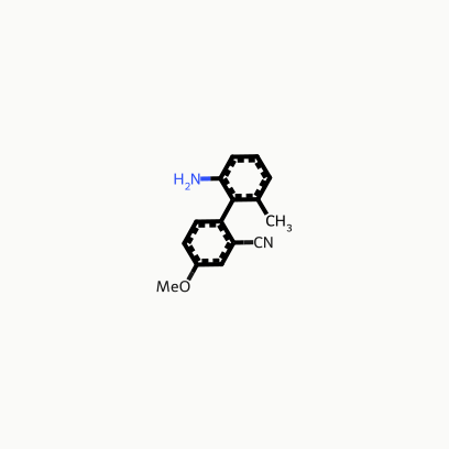 COc1ccc(-c2c(C)cccc2N)c(C#N)c1